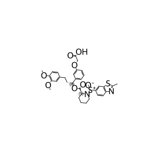 COc1ccc(CC[C@@H](OC(=O)[C@@H]2CCCCN2[S+]([O-])c2ccc3nc(C)sc3c2)c2cccc(OCC(=O)O)c2)cc1OC